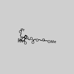 COCCOCCOCC(=O)OCn1ccc2c1c(=O)[nH]c(=S)n2CCOC(C)C